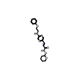 O=C(/C=C/c1cnc(NCCOc2ccccc2)cn1)NOC1CCCCO1